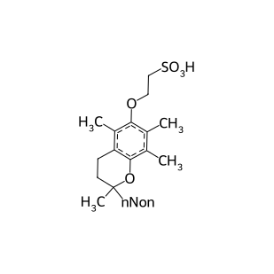 CCCCCCCCCC1(C)CCc2c(C)c(OCCS(=O)(=O)O)c(C)c(C)c2O1